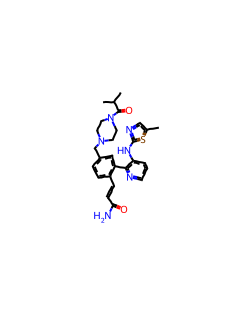 Cc1cnc(Nc2cccnc2-c2cc(CN3CCN(C(=O)C(C)C)CC3)ccc2C=CC(N)=O)s1